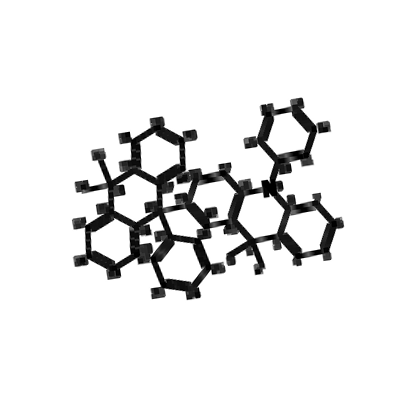 CC1(C)c2ccccc2N(c2ccccc2)c2ccc(C3(c4ccccc4)c4ccccc4C(C)(C)c4ccccc43)cc21